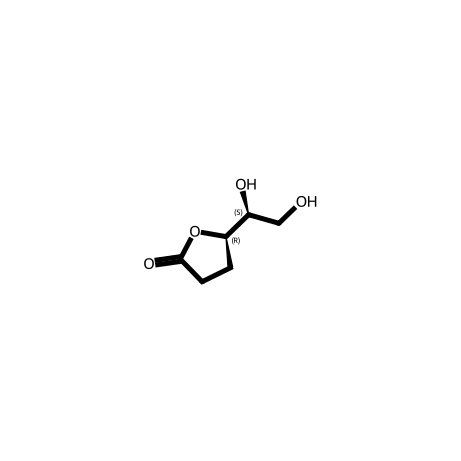 O=C1CC[C@H]([C@@H](O)CO)O1